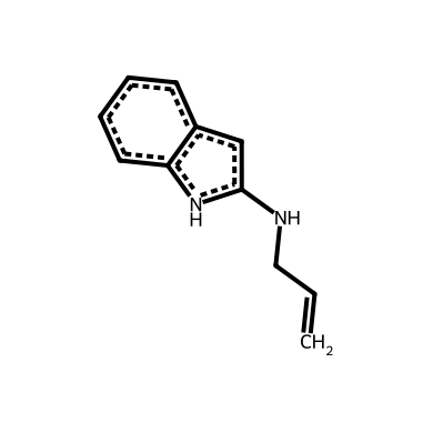 C=CCNc1cc2ccccc2[nH]1